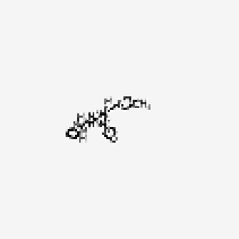 CN1CCN(CCNC2=NC(N)(CCc3nc4ccccc4[nH]3)NC(N3CCOCC3)=N2)CC1